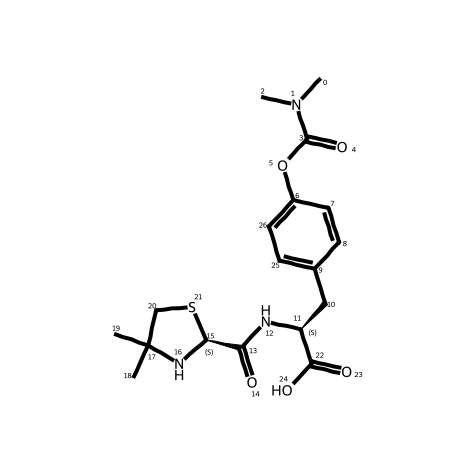 CN(C)C(=O)Oc1ccc(C[C@H](NC(=O)[C@H]2NC(C)(C)CS2)C(=O)O)cc1